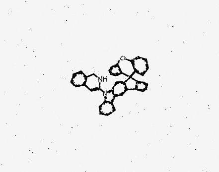 C1=C(n2c3ccccc3c3cc4c(cc32)C2(c3ccccc3Oc3ccccc32)c2ccccc2-4)NCc2ccccc21